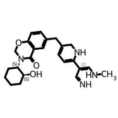 CN/C=C(\C=N)C1=CC=C(Cc2ccc3c(c2)C(=O)N([C@H]2CCCC[C@@H]2O)CO3)CN1